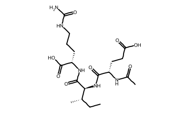 CC[C@H](C)[C@H](NC(=O)[C@H](CCC(=O)O)NC(C)=O)C(=O)N[C@@H](CCCNC(N)=O)C(=O)O